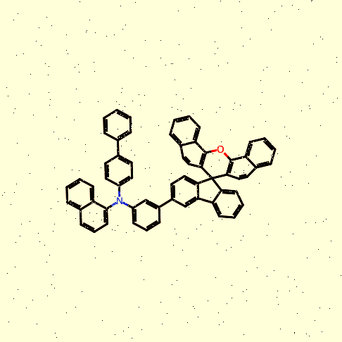 c1ccc(-c2ccc(N(c3cccc(-c4ccc5c(c4)-c4ccccc4C54c5ccc6ccccc6c5Oc5c4ccc4ccccc54)c3)c3cccc4ccccc34)cc2)cc1